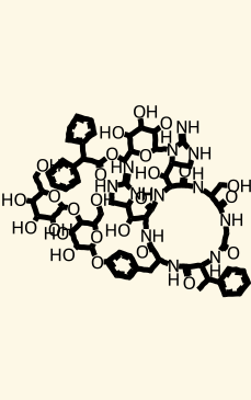 CC(c1ccccc1)C1NC(=O)CNC(=O)C(CO)NC(=O)C(C(O)C2CNC(=N)N2C2OC(COC(=O)C(c3ccccc3)c3ccccc3)C(O)C(O)C2O)NC(=O)C(C(O)C2CNC(=N)N2)NC(=O)C(Cc2ccc(OC3OC(CO)C(OC4OC(CO)C(O)C(O)C4O)C(O)C3O)cc2)NC1=O